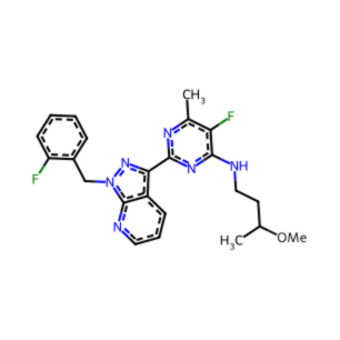 COC(C)CCNc1nc(-c2nn(Cc3ccccc3F)c3ncccc23)nc(C)c1F